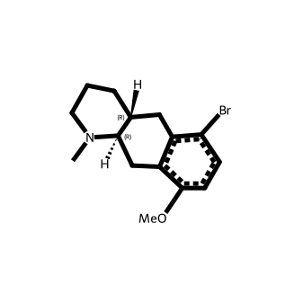 COc1ccc(Br)c2c1C[C@@H]1[C@H](CCCN1C)C2